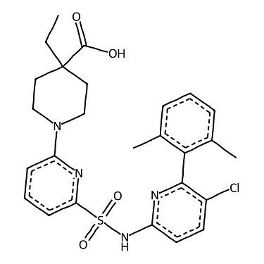 CCC1(C(=O)O)CCN(c2cccc(S(=O)(=O)Nc3ccc(Cl)c(-c4c(C)cccc4C)n3)n2)CC1